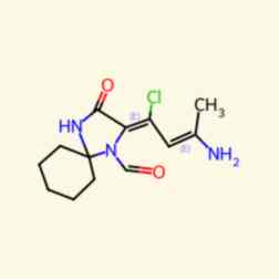 C/C(N)=C\C(Cl)=C1\C(=O)NC2(CCCCC2)N1C=O